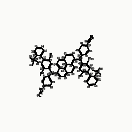 [C-]#[N+]c1ccc(N(c2cc(F)c(-c3ccccc3[Si](C)(C)C)cc2F)c2ccc3ccc4c(N(c5ccc(C#N)cc5)c5cc(F)c(-c6ccccc6[Si](C)(C)C)cc5F)ccc5ccc2c3c54)cc1